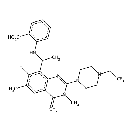 C=C1c2cc(C)c(F)c(C(C)Nc3ccccc3C(=O)O)c2N=C(N2CCN(CC(F)(F)F)CC2)N1C